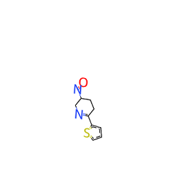 O=NC1CCC(c2cccs2)=NC1